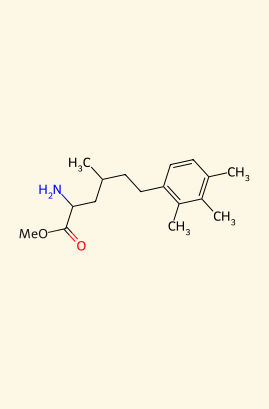 COC(=O)C(N)CC(C)CCc1ccc(C)c(C)c1C